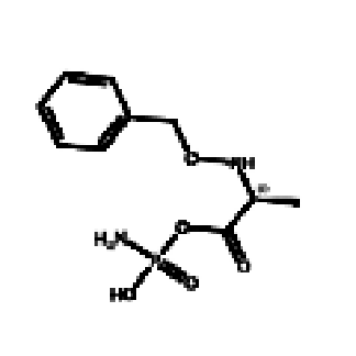 C[C@H](NOCc1ccccc1)C(=O)OP(N)(=O)O